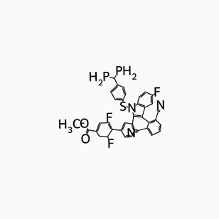 COC(=O)C1=CC(F)=C(c2cccc(-c3c(-c4c(C#N)cccc4C#N)c4cc(F)ccc4n3Sc3ccc(C(P)P)cc3)c2)C(F)C1